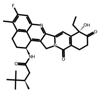 CC[C@@]1(O)C(=O)CCc2c1cc1n(c2=O)Cc2c-1nc1cc(F)c(C)c3c1c2[C@@H](NC(=O)C[C@@H](C)C(C)(C)C)CC3